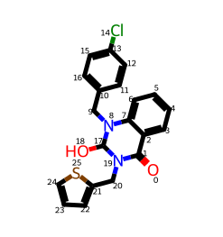 O=C1c2ccccc2N(Cc2ccc(Cl)cc2)C(O)N1Cc1cccs1